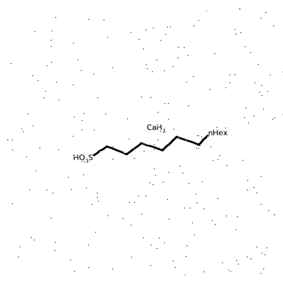 CCCCCCCCCCCCS(=O)(=O)O.[CaH2]